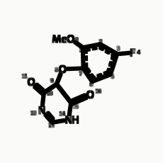 COc1cc(F)ccc1OC1C(=O)N=CNC1=O